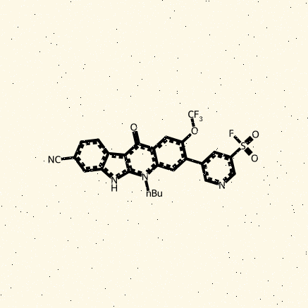 CCCCn1c2cc(-c3cncc(S(=O)(=O)F)c3)c(OC(F)(F)F)cc2c(=O)c2c3ccc(C#N)cc3[nH]c21